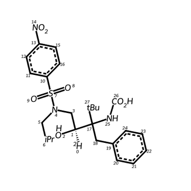 [2H][C@](O)(CN(CC(C)C)S(=O)(=O)c1ccc([N+](=O)[O-])cc1)C(Cc1ccccc1)(NC(=O)O)C(C)(C)C